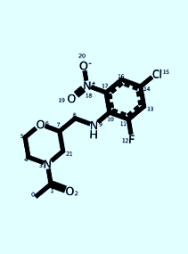 CC(=O)N1CCOC(CNc2c(F)cc(Cl)cc2[N+](=O)[O-])C1